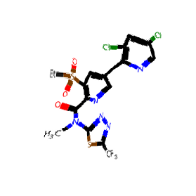 CCS(=O)(=O)c1cc(-c2ncc(Cl)cc2Cl)cnc1C(=O)N(C)c1nnc(C(F)(F)F)s1